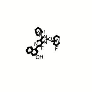 Oc1cc(-c2ncc3c(N4CC5CCC(C4)N5)nc(OCC45CCCN4C[C@H](F)C5)nc3c2F)c2ccccc2c1